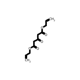 C=CCOC(=O)CC(=O)CC(=O)OCC=C